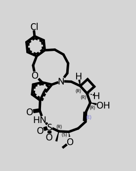 CO[C@H]1C/C=C/[C@H](O)[C@@H]2CC[C@H]2CN2CCCCc3cc(Cl)ccc3COc3ccc(cc32)C(=O)NS(=O)(=O)[C@@H]1C